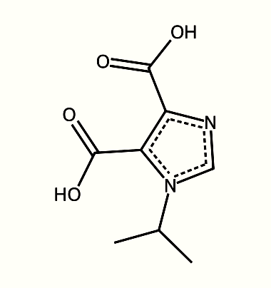 CC(C)n1cnc(C(=O)O)c1C(=O)O